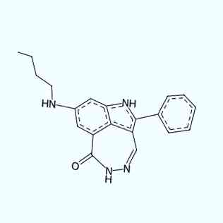 CCCCNc1cc2c3c(c(-c4ccccc4)[nH]c3c1)C=NNC2=O